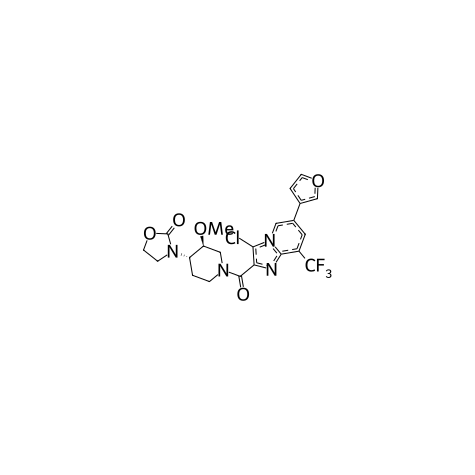 CO[C@H]1CN(C(=O)c2nc3c(C(F)(F)F)cc(-c4ccoc4)cn3c2Cl)CC[C@@H]1N1CCOC1=O